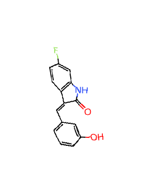 O=C1Nc2cc(F)ccc2C1=Cc1cccc(O)c1